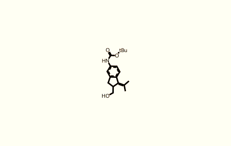 CC(C)=C1c2ccc(NC(=O)OC(C)(C)C)cc2CC1CO